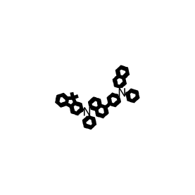 CC1(C)c2ccccc2-c2ccc(N(c3ccccc3)c3cccc4c(-c5ccc(N(c6ccccc6)c6ccc7ccccc7c6)cc5)cccc34)cc21